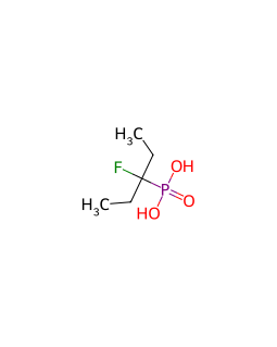 CCC(F)(CC)P(=O)(O)O